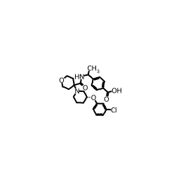 CC(NC(=O)C1(N2CCC[C@@H](Oc3cccc(Cl)c3)C2)CCOCC1)c1ccc(C(=O)O)cc1